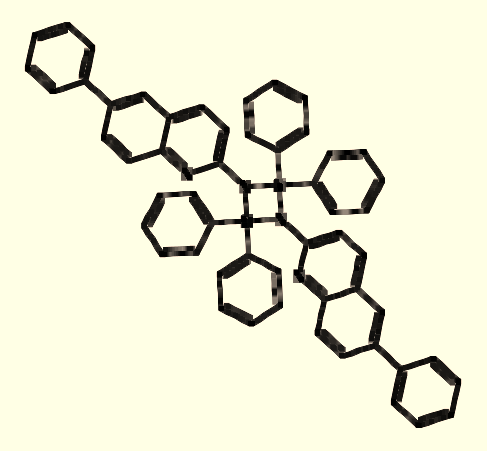 c1ccc(-c2ccc3nc(N4[Si](c5ccccc5)(c5ccccc5)N(c5ccc6cc(-c7ccccc7)ccc6n5)[Si]4(c4ccccc4)c4ccccc4)ccc3c2)cc1